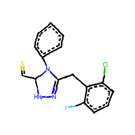 Fc1cccc(Cl)c1CC1=NNC(C=S)N1c1ccccc1